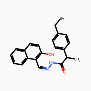 CC(C)Cc1ccc(C(C)C(=O)N/N=C\c2c(O)ccc3ccccc23)cc1